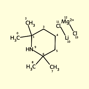 CC1(C)CCCC(C)(C)N1.[Li][Cl].[Mg+2][Cl]